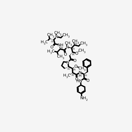 CC[C@H](C)[C@@H]([C@@H](CC(=O)N1CCC[C@H]1[C@H](OC)[C@@H](C)C(=O)N[C@@H](Cc1ccccc1)C(=O)NC1C=CC(N)=CC1)OC)N(C)C(=O)[C@@H](NC(=O)[C@H](C(C)C)N(C)CC)C(C)C